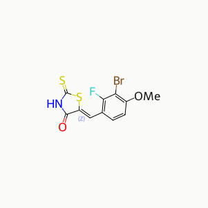 COc1ccc(/C=C2\SC(=S)NC2=O)c(F)c1Br